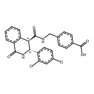 O=C(O)c1ccc(CNC(=O)[C@@H]2c3ccccc3C(=O)N[C@H]2c2ccc(Cl)cc2Cl)cc1